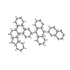 c1ccc2cc(-c3c4ccccc4c(-c4ccc5c(c4)c4ccccc4c4ccc6sc7ccccc7c6c45)c4ccccc34)ccc2c1